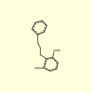 O=Cc1cccc(O)c1CCCc1ccccc1